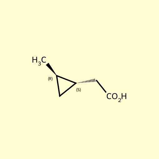 C[C@@H]1C[C@H]1CC(=O)O